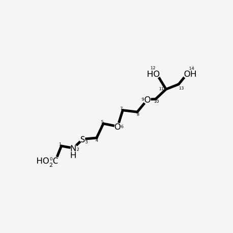 O=C(O)CNSCCOCCOCC(O)CO